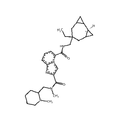 CCC1(CNC(=O)c2cccc3nc(C(=O)N(C)CC4CCCCN4C)cn23)CC2CC2[C@H]2CC2C1